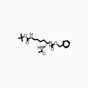 CC(=O)NC[C@H](CCCCNC(=O)OC(C)(C)C)NC(=O)OCc1ccccc1